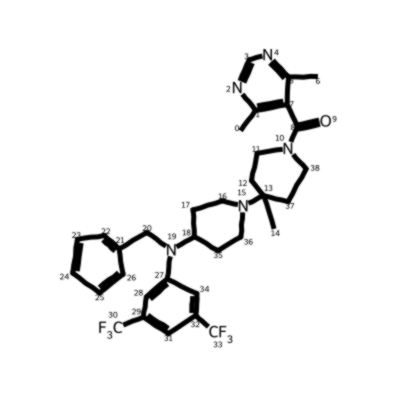 Cc1ncnc(C)c1C(=O)N1CCC(C)(N2CCC(N(Cc3ccccc3)c3cc(C(F)(F)F)cc(C(F)(F)F)c3)CC2)CC1